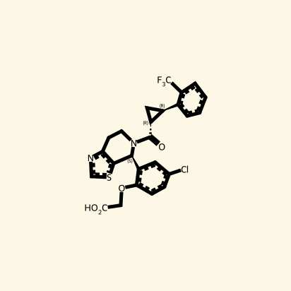 O=C(O)COc1ccc(Cl)cc1[C@H]1c2scnc2CCN1C(=O)[C@@H]1C[C@H]1c1ccccc1C(F)(F)F